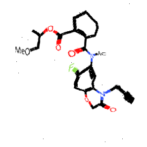 C#CCN1C(=O)COc2cc(F)c(N(C(C)=O)C(=O)C3=C(C(=O)OC(C)COC)CCCC3)cc21